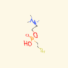 C[N+](C)(C)CCOP(=O)(O)CCS